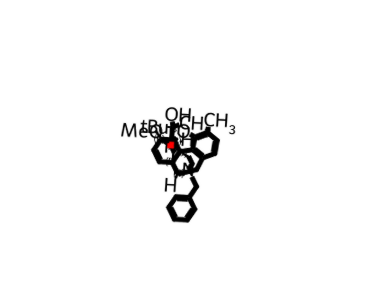 CO[C@]12C=C[C@@]3(C[C@@H]1[C@](C)(O)C(C)(C)C)[C@H]1Cc4ccc(C)c5c4[C@@]3(CCN1Cc1ccccc1)[C@H]2O5